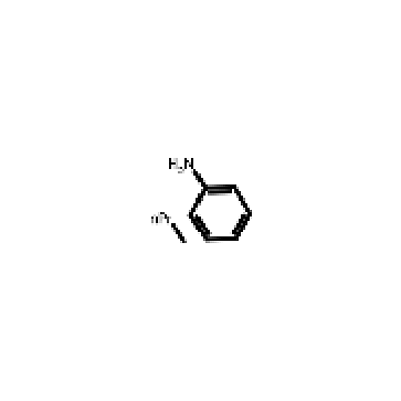 CCCC.Nc1ccccc1